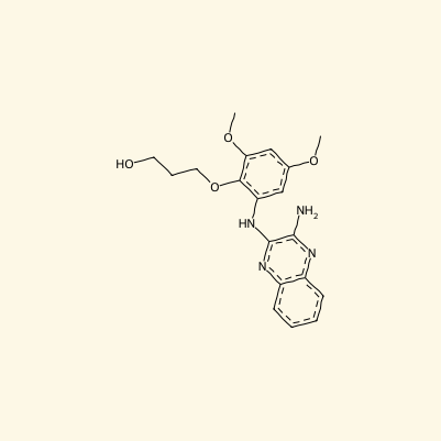 COc1cc(Nc2nc3ccccc3nc2N)c(OCCCO)c(OC)c1